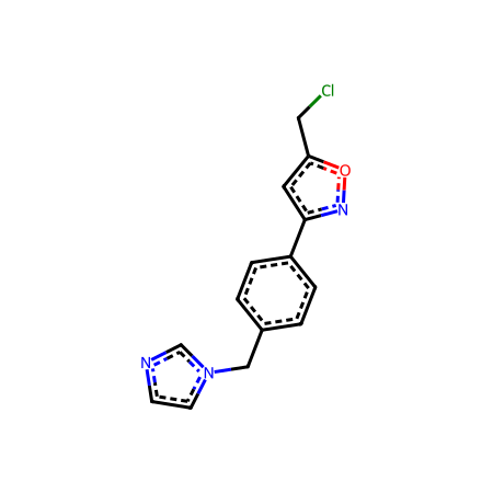 ClCc1cc(-c2ccc(Cn3ccnc3)cc2)no1